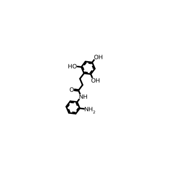 Nc1ccccc1NC(=O)CCc1c(O)cc(O)cc1O